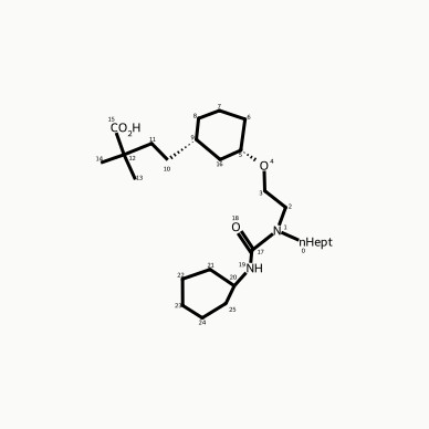 CCCCCCCN(CCO[C@H]1CCC[C@@H](CCC(C)(C)C(=O)O)C1)C(=O)NC1CCCCC1